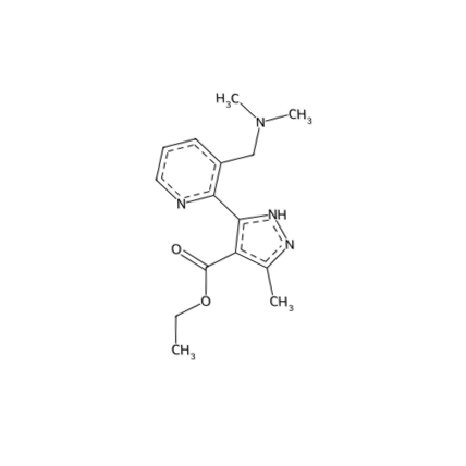 CCOC(=O)c1c(C)n[nH]c1-c1ncccc1CN(C)C